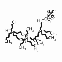 C.CCCC[N+](CCCC)(CCCC)CCCC.CCCC[N+](CCCC)(CCCC)CCCC.CCCC[N+](CCCC)(CCCC)CCCC.O=P([O-])([O-])OP(=O)([O-])[O-].[H+]